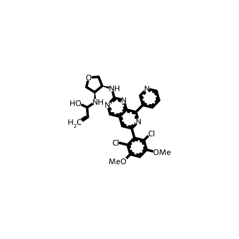 C=CC(O)N[C@H]1COC[C@H]1Nc1ncc2cc(-c3c(Cl)c(OC)cc(OC)c3Cl)nc(-c3cccnc3)c2n1